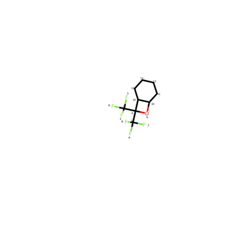 FC(F)(F)C1(C(F)(F)F)OC2CCCCC21